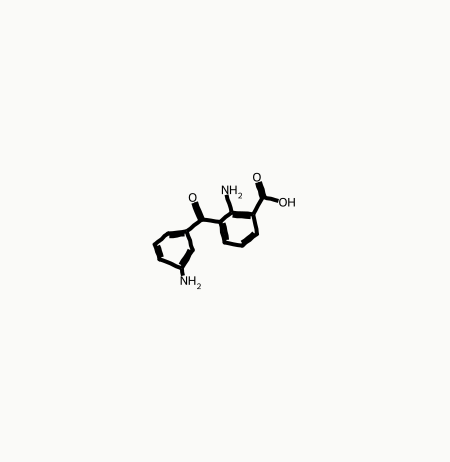 Nc1cccc(C(=O)c2cccc(C(=O)O)c2N)c1